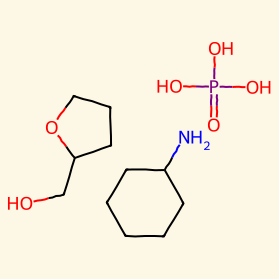 NC1CCCCC1.O=P(O)(O)O.OCC1CCCO1